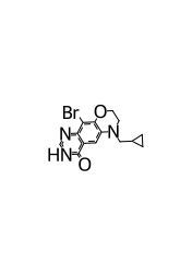 O=c1[nH]cnc2c(Br)c3c(cc12)N(CC1CC1)CCO3